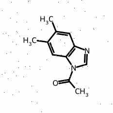 CC(=O)n1cnc2cc(C)c(C)cc21